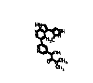 Cc1n[nH]cc1-c1c[nH]c2ncc(-c3cncc(C(O)C(=O)N(C)C)c3)cc12